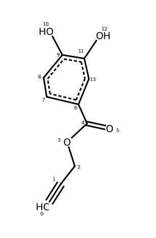 C#CCOC(=O)c1ccc(O)c(O)c1